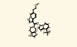 COCCc1ccc2c(C(=O)N3CCc4[nH]cnc4[C@H]3c3cc4c(C(F)(F)F)cccn4n3)cnn2c1